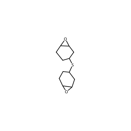 C1CC2OC2CC1SC1CCC2OC2C1